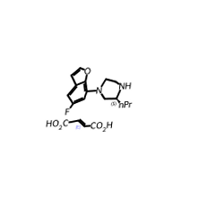 CCC[C@H]1CN(c2cc(F)cc3ccoc23)CCN1.O=C(O)/C=C/C(=O)O